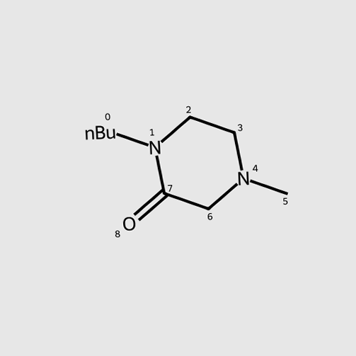 CCCCN1CCN(C)CC1=O